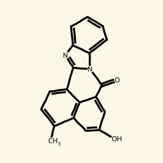 Cc1ccc2c3c1cc(O)cc3c(=O)n1c3ccccc3nc21